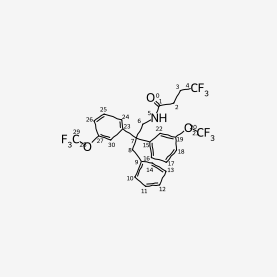 O=C(CCC(F)(F)F)NCC(Cc1ccccc1)(c1cccc(OC(F)(F)F)c1)c1cccc(OC(F)(F)F)c1